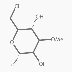 COC1C(O)[C@H](C(C)C)OC(CCl)[C@@H]1O